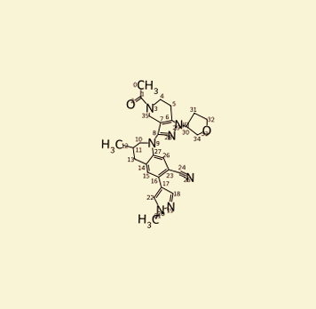 CC(=O)N1CCc2c(c(N3CC(C)Cc4cc(-c5cnn(C)c5)c(C#N)cc43)nn2[C@H]2CCOC2)C1